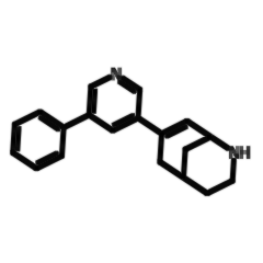 C1=C(c2cncc(-c3ccccc3)c2)CC2CCNC1C2